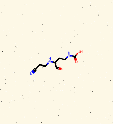 N#CCCNC(C=O)CCNC(=O)O